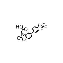 O=C(O)Cn1c(=O)oc2ccc(-c3ccc(OC(F)(F)F)cc3)cc21